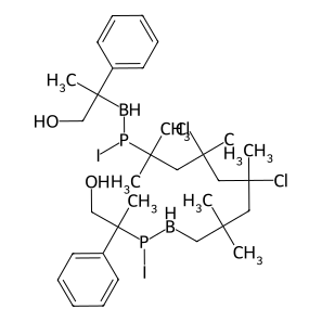 CC(C)(CBP(I)C(C)(CO)c1ccccc1)CC(C)(Cl)CC(C)(Cl)CC(C)(C)P(I)BC(C)(CO)c1ccccc1